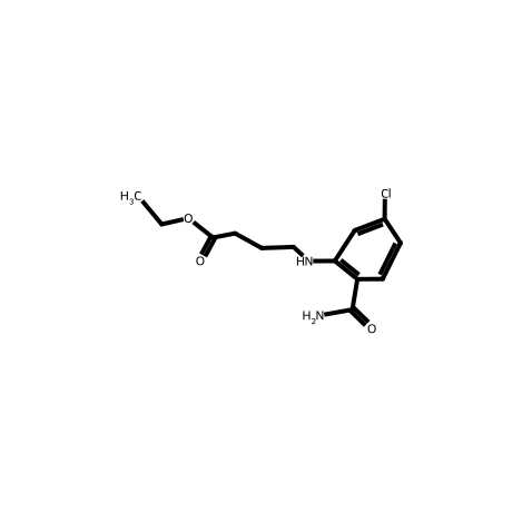 CCOC(=O)CCCNc1cc(Cl)ccc1C(N)=O